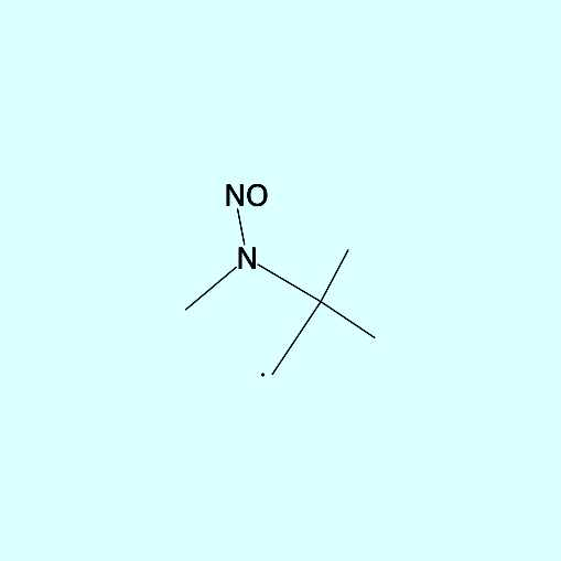 [CH2]C(C)(C)N(C)N=O